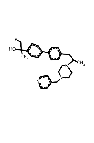 CC(Cc1ccc(-c2ccc(C(O)(CF)C(F)(F)F)cc2)cc1)N1CCN(Cc2ccncc2)CC1